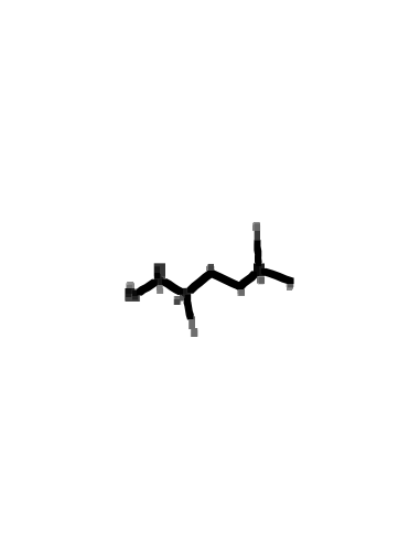 CCNN(I)CCN(C)I